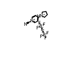 F[B-](F)(F)F.F[B-](F)(F)F.N#C[n+]1ccc([NH+]2CCCC2)cc1